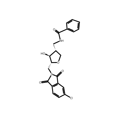 O=C(NC[C@@H]1CO[C@H](CN2C(=O)c3ccc(Cl)cc3C2=O)[C@H]1O)c1ccccc1